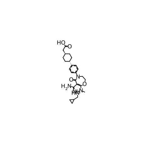 CN(NCC1CC1)C1=C(C(=N)N)C(=O)N(c2ccc([C@H]3CC[C@H](CC(=O)O)CC3)cc2)CCO1